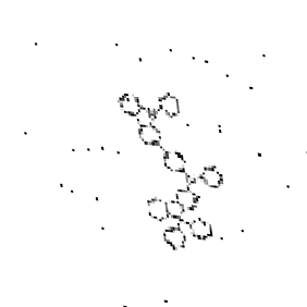 C1=C=C(C2(c3ccccc3)C3=C(C=CCC3)c3cc(N(c4ccccc4)c4ccc(-c5ccc6c7ccccc7n(-c7ccccc7)c6c5)cc4)ccc32)C=CC=1